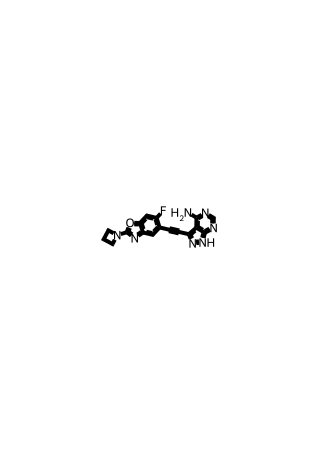 Nc1ncnc2[nH]nc(C#Cc3cc4nc(N5CCC5)oc4cc3F)c12